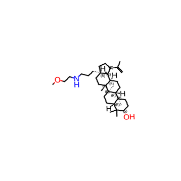 C=C(C)[C@@H]1CC[C@]2(CCCNCCOC)CC[C@]3(C)[C@H](CC[C@@H]4[C@@]5(C)CC[C@H](O)C(C)(C)[C@@H]5CC[C@]43C)[C@@H]12